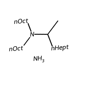 CCCCCCCCN(CCCCCCCC)C(C)CCCCCCC.N